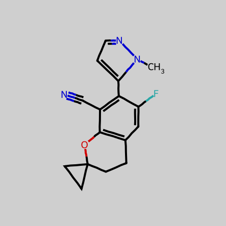 Cn1nccc1-c1c(F)cc2c(c1C#N)OC1(CC2)CC1